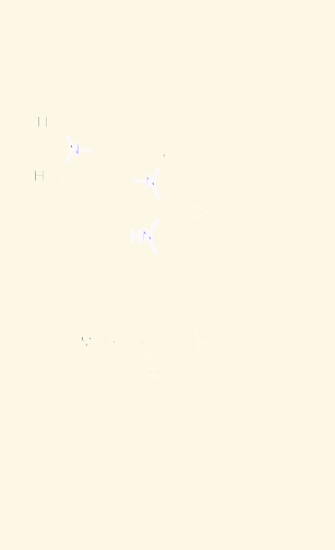 COC(=O)c1cc(NC(=O)N(C)CCN(C)C)ccc1OC(c1ccccc1)c1ccccc1